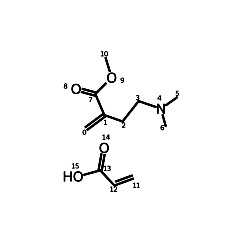 C=C(CCN(C)C)C(=O)OC.C=CC(=O)O